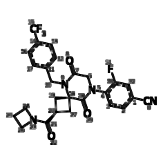 N#Cc1ccc(N2CC(=O)N(Cc3ccc(C(F)(F)F)cc3)[C@]3(C[C@H](C(=O)N4CCC4)C3)C2=O)c(F)c1